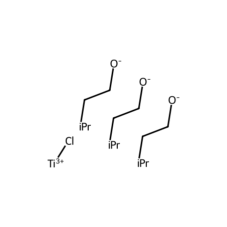 CC(C)CC[O-].CC(C)CC[O-].CC(C)CC[O-].[Cl][Ti+3]